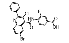 O=C(O)c1ccc(NC(=O)c2c(Cl)c(-c3ccccc3)nc3ccc(Br)cc23)c(F)c1